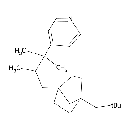 CC(CC12CCC(CC(C)(C)C)(CC1)C2)C(C)(C)c1ccncc1